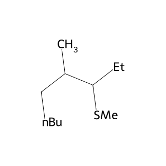 CCCCCC(C)C(CC)SC